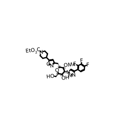 CCOC(=O)N1CCC(c2cc(C[C@H]3O[C@H](CO)[C@H](O)[C@H](n4cc(-c5ccc(F)c(F)c5F)nn4)[C@H]3OC)no2)CC1